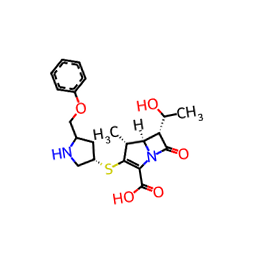 CC(O)[C@@H]1C(=O)N2C(C(=O)O)=C(S[C@@H]3CNC(COc4ccccc4)C3)[C@H](C)[C@@H]12